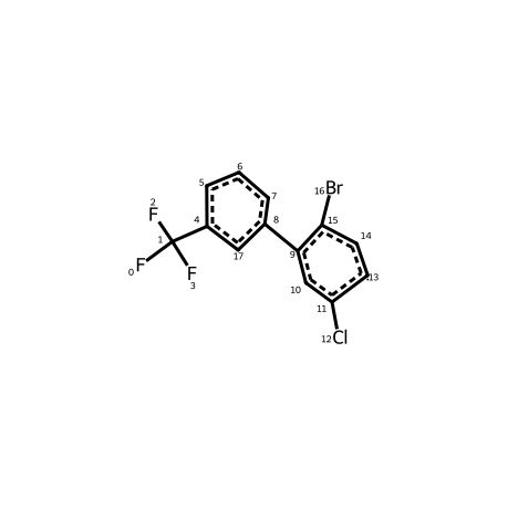 FC(F)(F)c1cccc(-c2cc(Cl)[c]cc2Br)c1